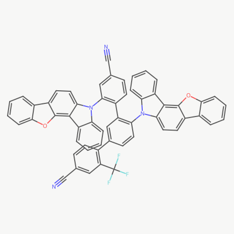 N#Cc1ccc(-c2cc(-c3ccc(C#N)cc3C(F)(F)F)ccc2-n2c3ccccc3c3c4oc5ccccc5c4ccc32)c(-n2c3ccccc3c3c4oc5ccccc5c4ccc32)c1